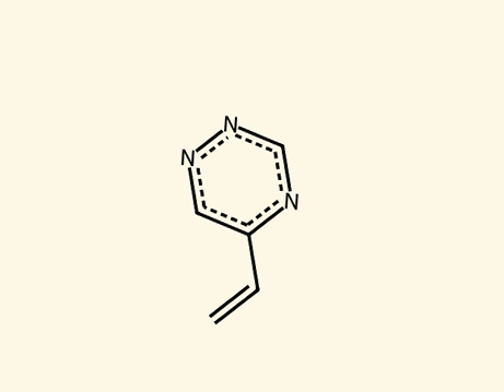 C=Cc1cnncn1